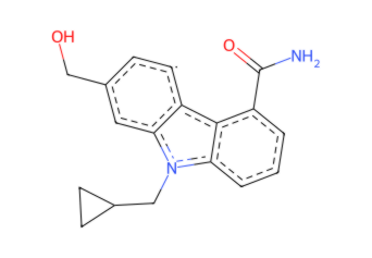 NC(=O)c1cccc2c1c1[c]cc(CO)cc1n2CC1CC1